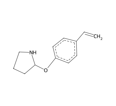 C=Cc1ccc(OC2CCCN2)cc1